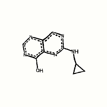 Oc1ncnc2cnc(NC3CC3)nc12